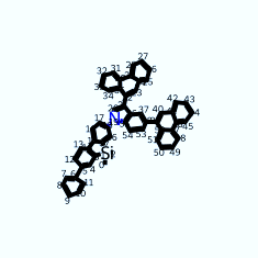 C[Si]1(C)c2cc(-c3ccccc3)ccc2-c2ccc(-n3cc(-c4cc5ccccc5c5ccccc45)c4cc(-c5cc6ccccc6c6ccccc56)ccc43)cc21